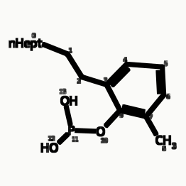 CCCCCCCCCc1cccc(C)c1OP(O)O